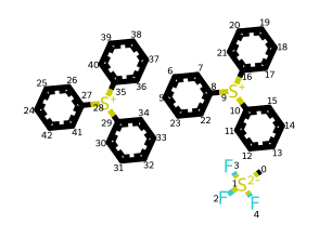 C[S-2](F)(F)F.c1ccc([S+](c2ccccc2)c2ccccc2)cc1.c1ccc([S+](c2ccccc2)c2ccccc2)cc1